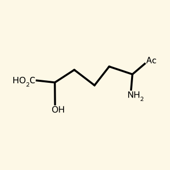 CC(=O)C(N)CCCC(O)C(=O)O